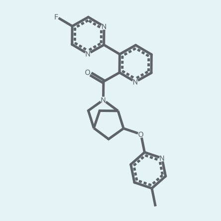 Cc1ccc(OC2CC3CC2N(C(=O)c2ncccc2-c2ncc(F)cn2)C3)nc1